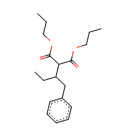 CCCOC(=O)C(C(=O)OCCC)C(CC)Cc1ccccc1